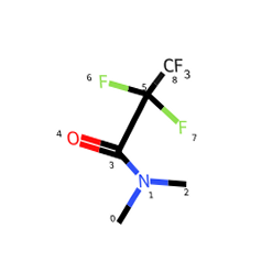 CN(C)C(=O)C(F)(F)C(F)(F)F